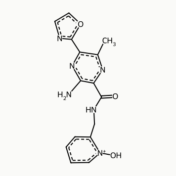 Cc1nc(C(=O)NCc2cccc[n+]2O)c(N)nc1-c1ncco1